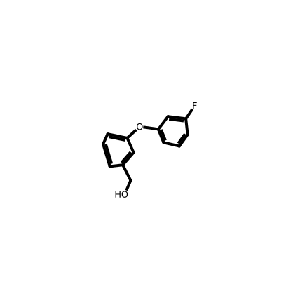 OCc1cccc(Oc2cccc(F)c2)c1